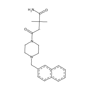 CC(C)([CH]C(=O)N1CCN(Cc2ccc3ccccc3c2)CC1)C(N)=O